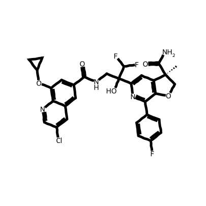 C[C@]1(C(N)=O)COc2c1cc(C(O)(CNC(=O)c1cc(OC3CC3)c3ncc(Cl)cc3c1)C(F)F)nc2-c1ccc(F)cc1